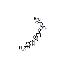 Cc1ccc(CNc2nc3ccc(OC/C(=C\F)COC(=O)NC(C)(C)C)cc3o2)cn1